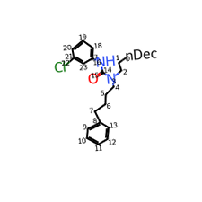 CCCCCCCCCCCCN(CCCCc1ccccc1)C(=O)Nc1cccc(Cl)c1